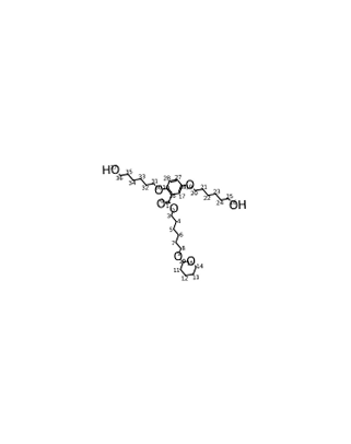 O=C(OCCCCCCOC1CCCCO1)c1cc(OCCCCCCO)ccc1OCCCCCCO